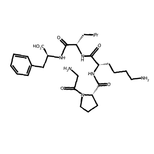 CC(C)C[C@H](NC(=O)[C@H](CCCCN)NC(=O)[C@@H]1CCCN1C(=O)CN)C(=O)N[C@@H](Cc1ccccc1)C(=O)O